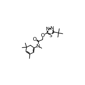 CC1=CC(C)(C)CC(N(C)C(=O)COc2nnc(C(C)(C)C)s2)=C1